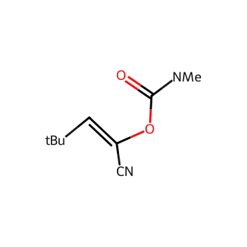 CNC(=O)OC(C#N)=CC(C)(C)C